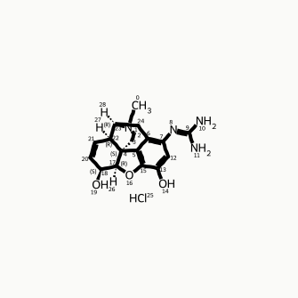 CN1CC[C@]23c4c5c(N=C(N)N)cc(O)c4O[C@H]2[C@@H](O)C=C[C@H]3[C@H]1C5.Cl